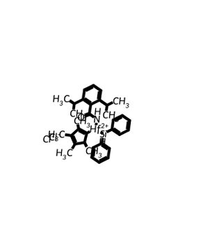 CC1=C(C)C(C)[C]([Hf+2]([NH]C(=O)c2c(C(C)C)cccc2C(C)C)[SiH](c2ccccc2)c2ccccc2)=C1C.[Cl-].[Cl-]